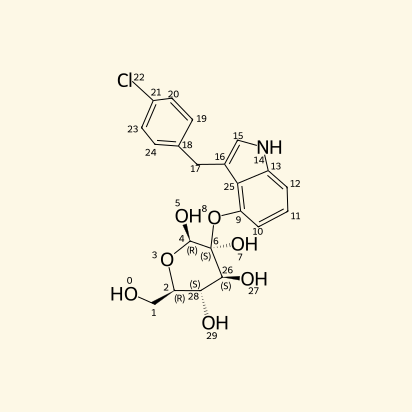 OC[C@H]1O[C@@H](O)[C@@](O)(Oc2cccc3[nH]cc(Cc4ccc(Cl)cc4)c23)[C@@H](O)[C@@H]1O